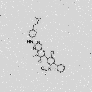 CC(=O)Nc1cc(-c2cc3cnc(Nc4ccc(CCN(C)C)cc4)nc3n(C)c2=O)c(Cl)cc1-c1ccccc1